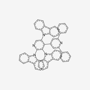 c1ccc(-c2cc(-c3c(-n4c5ccccc5c5ccccc54)cnc(-n4c5ccccc5c5ccccc54)c3-n3c4ccccc4c4ccccc43)cc(-c3ccccc3)n2)cc1